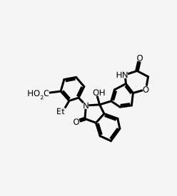 CCc1c(C(=O)O)cccc1N1C(=O)c2ccccc2C1(O)c1ccc2c(c1)NC(=O)CO2